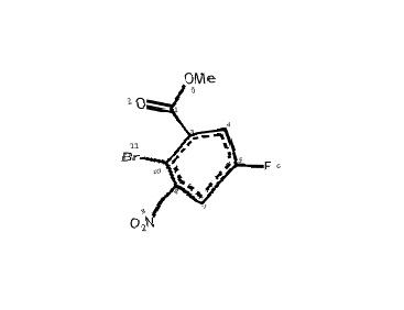 COC(=O)c1cc(F)cc([N+](=O)[O-])c1Br